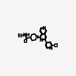 CCNC(=O)C1CCN(c2nc(-c3ccnc(Cl)c3)cc3cnccc23)CC1